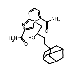 NC(=O)C1=C[N+]2(CC(O)CCC34CC5CC(CC(C5)C3)C4)C(C(N)=O)=CC=CC2=N1